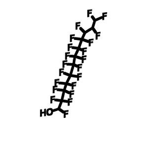 OC(F)C(F)(F)C(F)(F)C(F)(F)C(F)(F)C(F)(F)C(F)(F)C(F)(F)C(F)(F)C(F)C(F)C(F)F